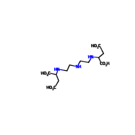 O=C(O)CC(NCCNCCNC(CC(=O)O)C(=O)O)C(=O)O